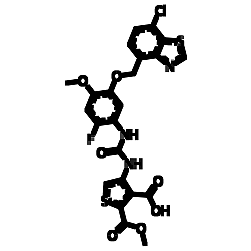 COC(=O)c1scc(NC(=O)Nc2cc(OCc3ccc(Cl)c4scnc34)c(OC)cc2F)c1C(=O)O